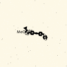 COC(=O)[C@@H](NC(=O)c1ccc(C#Cc2ccc(CN3CCOCC3)cc2)cc1)C1CC1